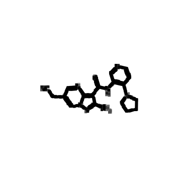 N#CCc1cnc2c(C(=O)Nc3cnccc3N3CCCC3)c(N)nn2c1